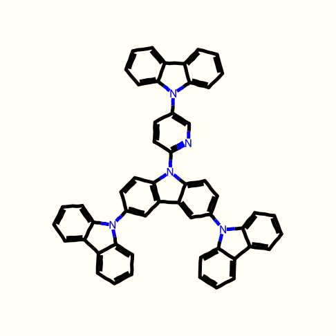 c1ccc2c(c1)c1ccccc1n2-c1ccc(-n2c3ccc(-n4c5ccccc5c5ccccc54)cc3c3cc(-n4c5ccccc5c5ccccc54)ccc32)nc1